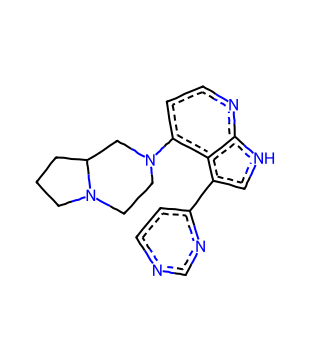 c1cc(-c2c[nH]c3nccc(N4CCN5CCCC5C4)c23)ncn1